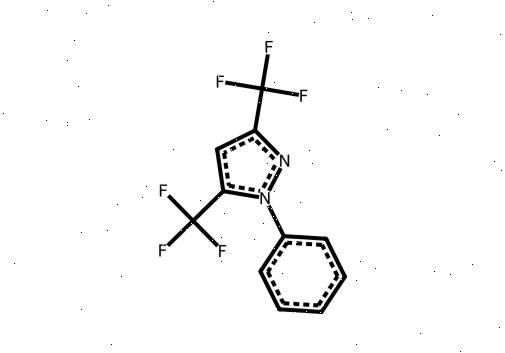 FC(F)(F)c1cc(C(F)(F)F)n(-c2ccccc2)n1